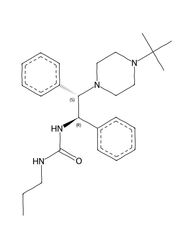 CCCNC(=O)N[C@H](c1ccccc1)[C@H](c1ccccc1)N1CCN(C(C)(C)C)CC1